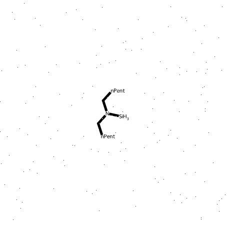 CCCCCCN([SiH3])CCCCCC